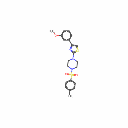 COc1cccc(-c2csc(N3CCN(S(=O)(=O)c4ccc(C)cc4)CC3)n2)c1